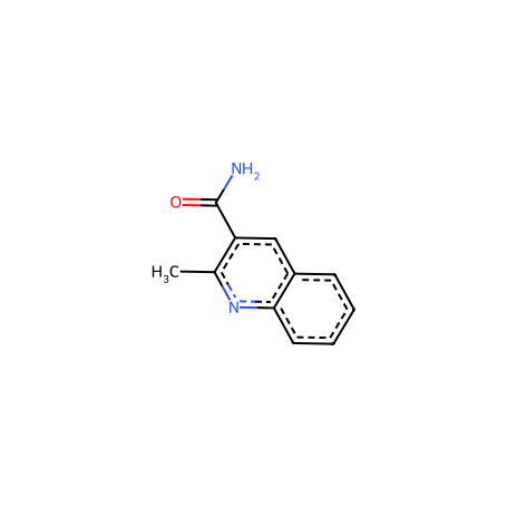 Cc1nc2ccccc2cc1C(N)=O